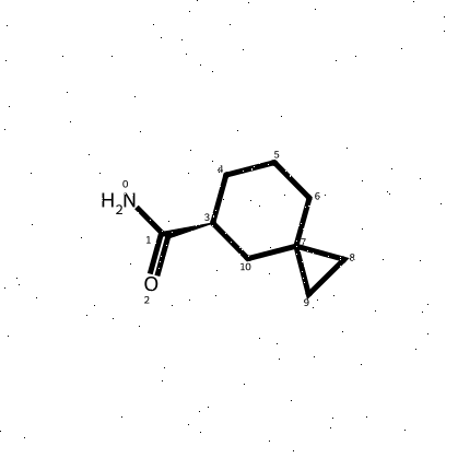 NC(=O)[C@H]1CCCC2(CC2)C1